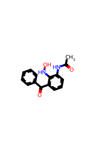 CC(=O)Nc1cccc(C(=O)c2ccccc2)c1NO